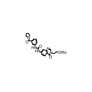 COCCn1cnc2cc(NC(=O)Nc3cccc(C(=O)N4CCCC4)c3)ccc2c1=O